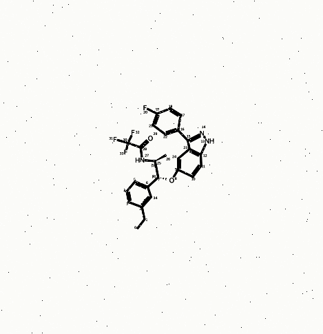 CCc1cccc([C@@H](Oc2ccc3[nH]nc(-c4ccc(F)cc4)c3c2)[C@H](C)NC(=O)C(F)(F)F)c1